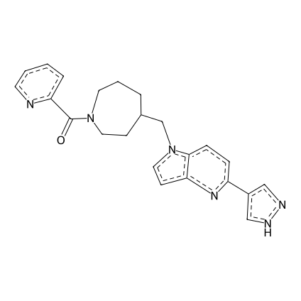 O=C(c1ccccn1)N1CCCC(Cn2ccc3nc(-c4cn[nH]c4)ccc32)CC1